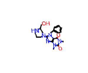 Cn1c(=O)c2c(nc(N3CCCNC(CO)C3)n2Cc2ccccc2)n(C)c1=O